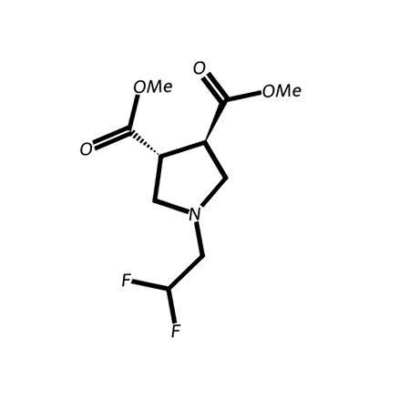 COC(=O)[C@H]1CN(CC(F)F)C[C@@H]1C(=O)OC